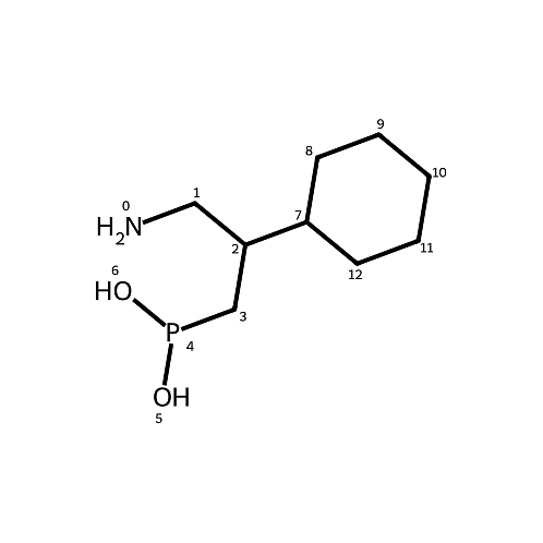 NCC(CP(O)O)C1CCCCC1